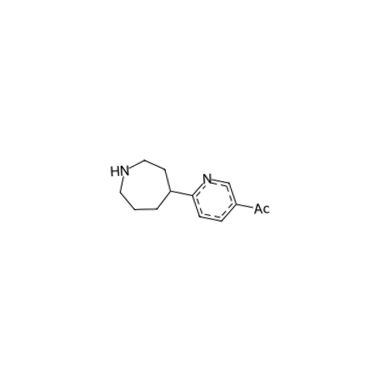 CC(=O)c1ccc(C2CCCNCC2)nc1